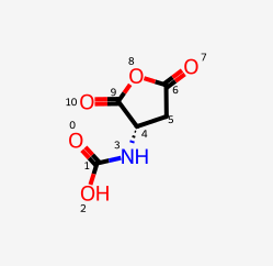 O=C(O)N[C@H]1CC(=O)OC1=O